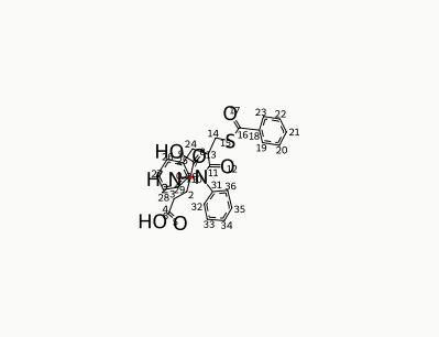 N[C@@](CCC(=O)O)(C(=O)O)N(C(=O)C(CSC(=O)c1ccccc1)Cc1ccccc1)c1ccccc1